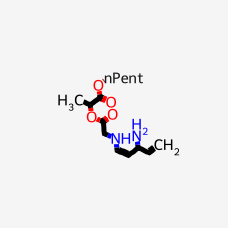 C=CC(N)/C=C\NCC(=O)OC(C)C(=O)OCCCCC